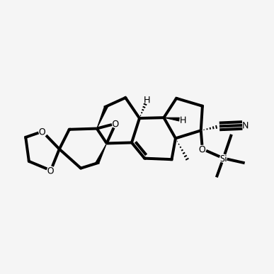 C[C@]12CC=C3[C@@H](CC[C@]45CC6(CC[C@@]34O5)OCCO6)[C@@H]1CC[C@@]2(C#N)O[Si](C)(C)C